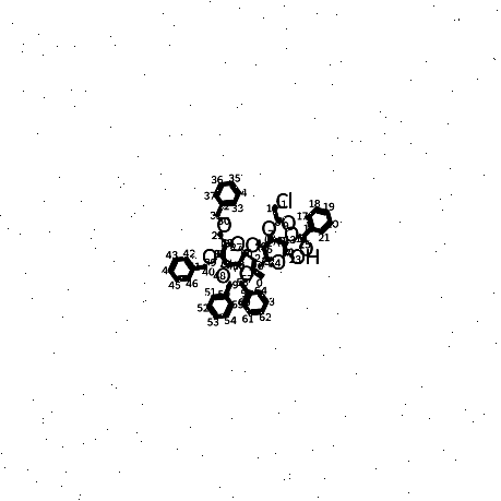 C=CC[C@]1(O[C@@H]2[C@@H](OC(=O)CCl)[C@@H](OC(=O)c3ccccc3)[C@H](O)O[C@H]2C)O[C@H](COCc2ccccc2)[C@@H](OCc2ccccc2)[C@H](OCc2ccccc2)[C@H]1OCc1ccccc1